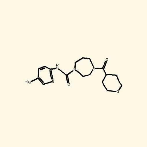 CC(C)(C)c1ccc(NC(=O)N2CCCN(C(=O)C3CCOCC3)CC2)nc1